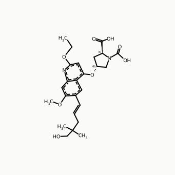 CCOc1cc(O[C@@H]2C[C@@H](C(=O)O)N(C(=O)O)C2)c2cc(C=CCC(C)(C)CO)c(OC)cc2n1